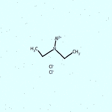 CC[N]([Al+2])CC.[Cl-].[Cl-]